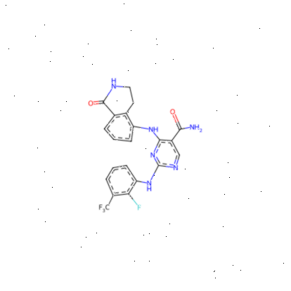 NC(=O)c1cnc(Nc2cccc(C(F)(F)F)c2F)nc1Nc1cccc2c1CCNC2=O